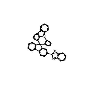 c1ccc2c(c1)-c1ccc(-c3nc4ccccc4s3)cc1C21c2ccccc2-n2c3ccccc3c3cccc1c32